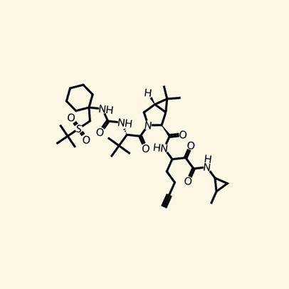 C#CCCC(NC(=O)[C@@H]1C2[C@H](CN1C(=O)[C@@H](NC(=O)NC1(CS(=O)(=O)C(C)(C)C)CCCCC1)C(C)(C)C)C2(C)C)C(=O)C(=O)NC1CC1C